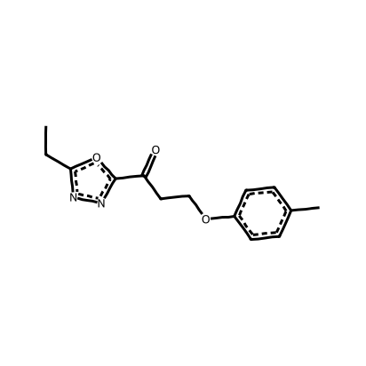 CCc1nnc(C(=O)CCOc2ccc(C)cc2)o1